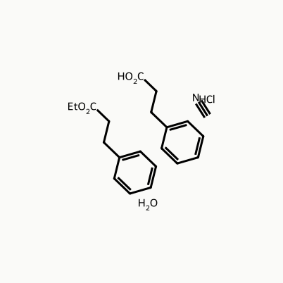 C#N.CCOC(=O)CCc1ccccc1.Cl.O.O=C(O)CCc1ccccc1